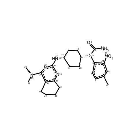 Cc1ccc(N(C(N)=O)[C@H]2CC[C@@H](Nc3nc4c(c(N(C)C)n3)CCCC4)CC2)c([N+](=O)[O-])c1